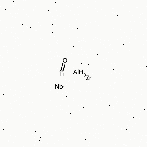 [AlH3].[Nb].[O]=[Ti].[Zr]